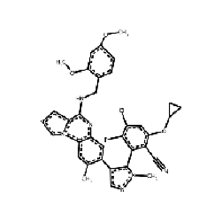 COc1ccc(CNc2nc3cc(-c4cnn(C)c4-c4c(F)c(Cl)cc(OC5CC5)c4C#N)c(C)cc3n3cncc23)c(OC)c1